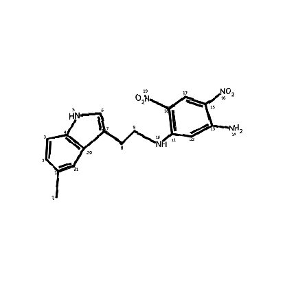 Cc1ccc2[nH]cc(CCNc3cc(N)c([N+](=O)[O-])cc3[N+](=O)[O-])c2c1